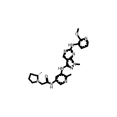 COc1ncccc1Nc1ncc2c(Nc3cc(NC(=O)CN4CCC[C@@H]4C)cnc3C)nn(C)c2n1